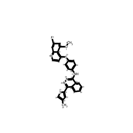 COc1cc(F)cc2nccc(Sc3ccc(Nc4nnc(-c5cc(C)cs5)c5ccccc45)cc3)c12